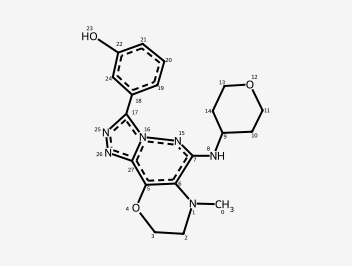 CN1CCOc2c1c(NC1CCOCC1)nn1c(-c3cccc(O)c3)nnc21